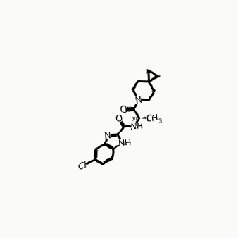 C[C@@H](NC(=O)c1nc2cc(Cl)ccc2[nH]1)C(=O)N1CCC2(CC1)CC2